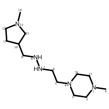 CN1CCN(CCNNCC2CCN(C)C2)CC1